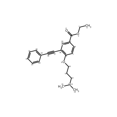 CCOC(=O)c1ccc(OCCCN(C)C)c(C#Cc2ccccc2)n1